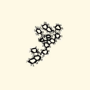 c1ccc(N(c2cccc(-c3ccc4c(c3)-c3ccc(-c5cccc(N(c6ccccc6)c6ccc7ccccc7c6)c5)cc3C43c4ccccc4N(c4ccccc4)c4ccccc43)c2)c2ccc3ccccc3c2)cc1